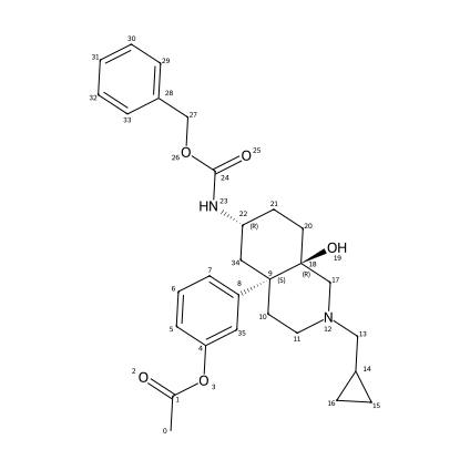 CC(=O)Oc1cccc([C@@]23CCN(CC4CC4)C[C@@]2(O)CC[C@@H](NC(=O)OCc2ccccc2)C3)c1